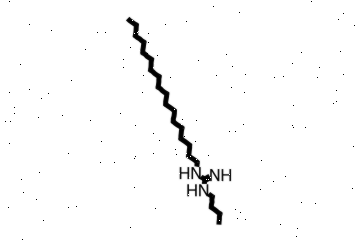 CCCCCCCCCCCCCCCCCCNC(=N)NCCCC